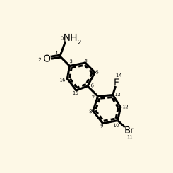 NC(=O)c1ccc(-c2ccc(Br)cc2F)cc1